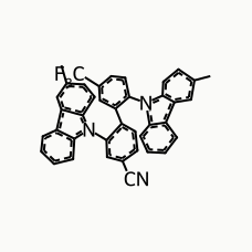 Cc1ccc2c(c1)c1ccccc1n2-c1ccc(C(F)(F)F)cc1-c1ccc(C#N)cc1-n1c2ccccc2c2cc(C)ccc21